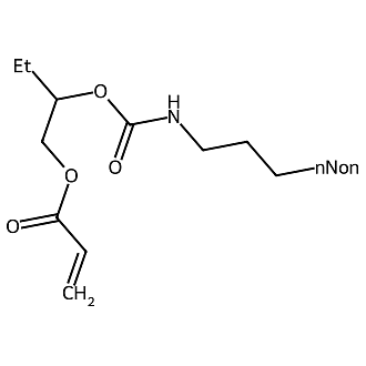 C=CC(=O)OCC(CC)OC(=O)NCCCCCCCCCCCC